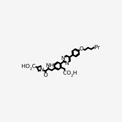 CC(C)CCCOc1ccc(-c2cnc(-c3ccc(CC(N)C(=O)N4CC(C(=O)O)C4)cc3CC(=O)O)nc2)cc1